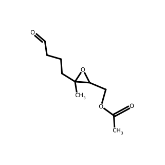 CC(=O)OCC1OC1(C)CCCC=O